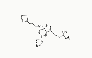 CC(O)CC#Cc1csc2c(NCCCc3ccccc3)nc(-c3ccncc3)nc12